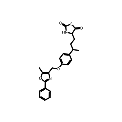 Cc1oc(-c2ccccc2)nc1COc1ccc(C(C)CCC2NC(=O)SC2=O)cc1